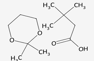 CC(C)(C)CC(=O)O.CC1(C)OCCCO1